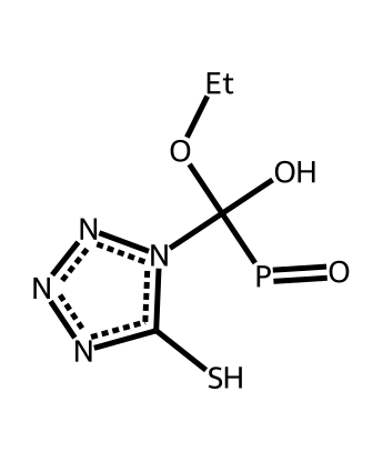 CCOC(O)(P=O)n1nnnc1S